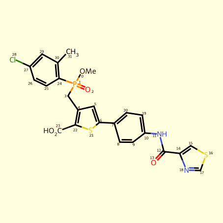 COP(=O)(Cc1cc(-c2ccc(NC(=O)c3cscn3)cc2)sc1C(=O)O)c1ccc(Cl)cc1C